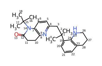 CC(C)(Cc1ccc2c(n1)CCC(=O)N2C(C)(C)C)c1cccc2c1NCCC2